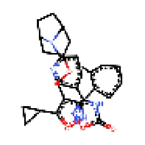 O=c1[nH]c(-c2ccc(N3C4CCC3CC(OCc3c(-c5ccccc5C(F)(F)F)noc3C3CC3)C4)nc2)no1